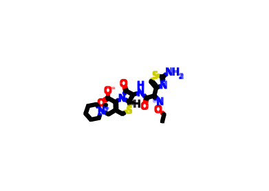 CCO/N=C(\C(=O)NC1C(=O)N2C(C(=O)[O-])=C(C[N+]3(C)CCCCC3)CS[C@@H]12)c1csc(N)n1